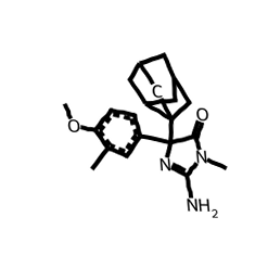 COc1ccc(C2(C34CC5CC(CC3C5)C4)N=C(N)N(C)C2=O)cc1C